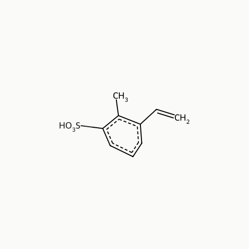 C=Cc1cccc(S(=O)(=O)O)c1C